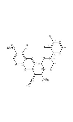 CCCCC(C(=C=O)c1ccc2c(Cl)c(OC)ccc2c1)N1CCN(c2cccc(C)c2C)CC1